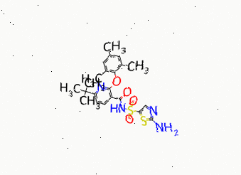 Cc1cc(C)c(Oc2nc(C(C)(C)C)ccc2C(=O)NS(=O)(=O)c2cnc(N)s2)c(C)c1